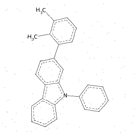 Cc1cccc(-c2ccc3c4ccccc4n(-c4ccccc4)c3c2)c1C